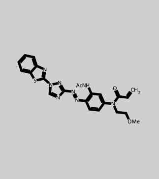 C=CC(=O)N(CCOC)c1ccc(N=Nc2ncn(-c3nc4ccccc4s3)n2)c(NC(C)=O)c1